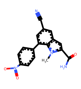 Cn1c(C(N)=O)cc2cc(C#N)cc(-c3ccc([N+](=O)[O-])cc3)c21